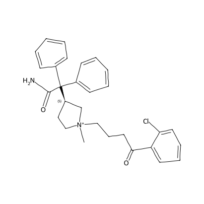 C[N+]1(CCCC(=O)c2ccccc2Cl)CC[C@@H](C(C(N)=O)(c2ccccc2)c2ccccc2)C1